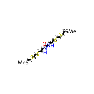 CSCCSCCSCCCNC(=O)NCCCSCCSCCSC